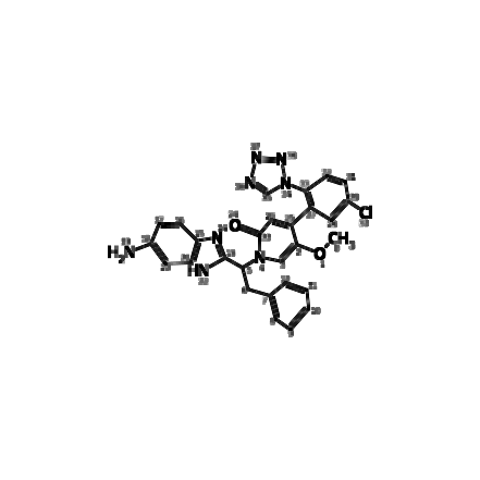 COc1cn(C(Cc2ccccc2)c2nc3ccc(N)cc3[nH]2)c(=O)cc1-c1cc(Cl)ccc1-n1cnnn1